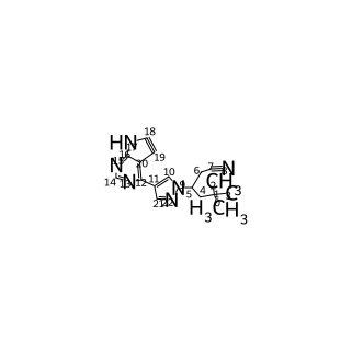 CC(C)(C)CC(CC#N)n1cc(-c2ncnc3[nH]c#cc23)cn1